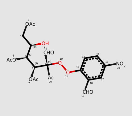 CC(=O)OC[C@@H](O)[C@H](OC(C)=O)[C@H](OC(C)=O)[C@](C=O)(OOc1ccc([N+](=O)[O-])cc1C=O)C(C)=O